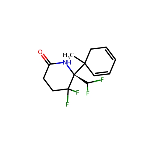 CC1([C@@]2(C(F)F)NC(=O)CCC2(F)F)C=CC=CC1